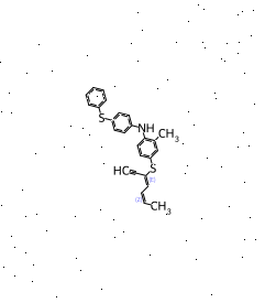 C#C/C(=C\C=C/C)Sc1ccc(Nc2ccc(Sc3ccccc3)cc2)c(C)c1